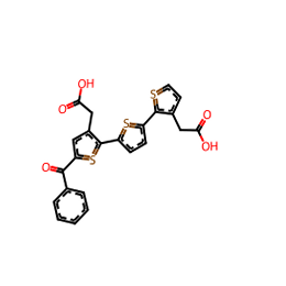 O=C(O)Cc1ccsc1-c1ccc(-c2sc(C(=O)c3ccccc3)cc2CC(=O)O)s1